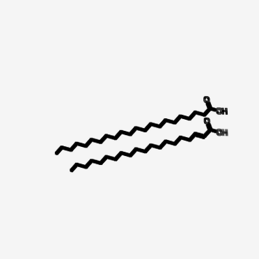 CCCCCCCCCCCCCCCCCC=CC(=O)O.CCCCCCCCCCCCCCCCCCCCCC(=O)O